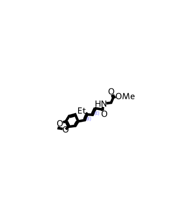 CCC(/C=C/C(=O)NCC(=O)OC)=C\c1ccc2c(c1)OCO2